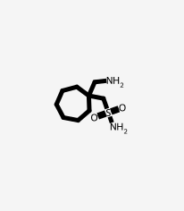 NCC1(CS(N)(=O)=O)CCCCCC1